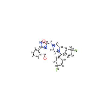 O=Cc1ccccc1-c1noc(CN2CCN(C(c3ccc(F)cc3)c3ccc(F)cc3)CC2)n1